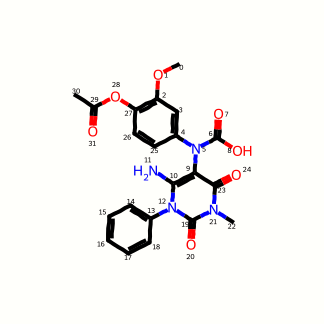 COc1cc(N(C(=O)O)c2c(N)n(-c3ccccc3)c(=O)n(C)c2=O)ccc1OC(C)=O